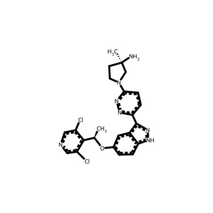 C[C@@H](Oc1ccc2[nH]nc(-c3ccc(N4CC[C@@](C)(N)C4)nn3)c2c1)c1c(Cl)cncc1Cl